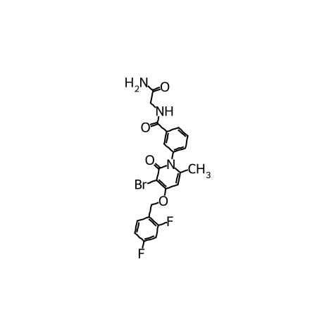 Cc1cc(OCc2ccc(F)cc2F)c(Br)c(=O)n1-c1cccc(C(=O)NCC(N)=O)c1